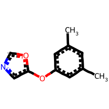 Cc1cc(C)cc(Oc2cn[c]o2)c1